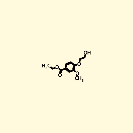 CCOC(=O)c1ccc(OCCO)c(OC)c1